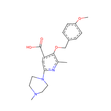 COc1ccc(COc2c(C(=O)O)cc(N3CCN(C)CC3)nc2C)cc1